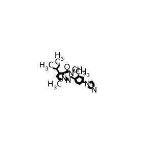 CCC(CC)c1cc(C)n2nc(-c3ccc(-n4ccnc4)cc3C)n(C)c(=O)c12